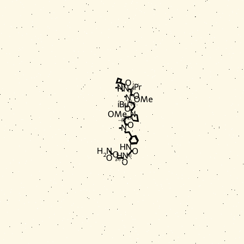 CC[C@H](C)[C@@H]([C@@H](CC(=O)N1CCC[C@H]1[C@H](OC)[C@@H](C)C(=O)N(C)CCc1cccc(NC(=O)[C@H](C)NC(=O)[C@H](C)OC(N)=O)c1)OC)N(C)C(=O)[C@@H](NC(=O)C1(N(C)C)CCC1)C(C)C